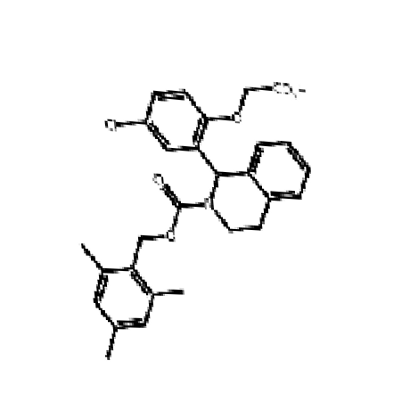 Cc1cc(C)c(COC(=O)N2CCc3ccccc3C2c2cc(Cl)ccc2OCC(=O)O)c(C)c1